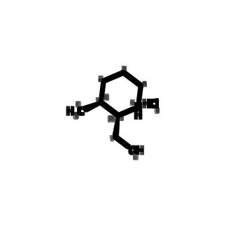 C[C@H]1CCCN[C@H]1CO.Cl